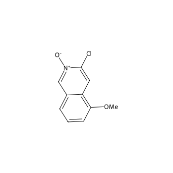 COc1cccc2c[n+]([O-])c(Cl)cc12